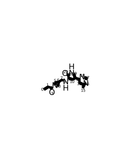 C=CC(=O)N1CC(CNc2cc(-c3cc(C)ncn3)c[nH]c2=O)C1